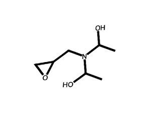 CC(O)N(CC1CO1)C(C)O